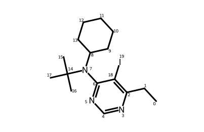 CCc1ncnc(N(C2CCCCC2)C(C)(C)C)c1I